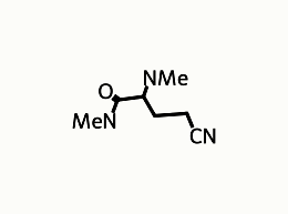 CNC(=O)C(CCC#N)NC